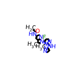 C=CC(=O)Nc1cnc2c(c1)c(C)cn2-c1nc(Nc2ccnn2C)ncc1F